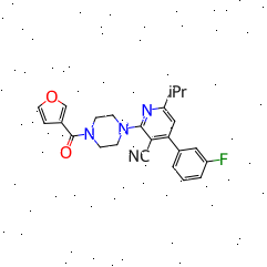 CC(C)c1cc(-c2cccc(F)c2)c(C#N)c(N2CCN(C(=O)c3ccoc3)CC2)n1